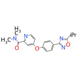 CC(C)c1nc(-c2ccc(Oc3ccnc(C(=O)N(C)C)c3)cc2)no1